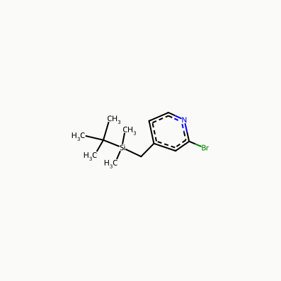 CC(C)(C)[Si](C)(C)Cc1ccnc(Br)c1